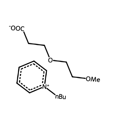 CCCC[n+]1ccccc1.COCCOCCC(=O)[O-]